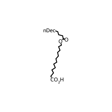 CCCCCCCCCCCCCC(=O)OCCCCCCCCCCCCC(=O)O